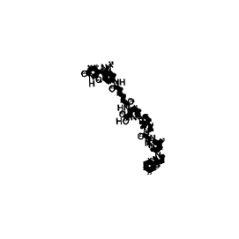 Cc1cc(N2CC[C@](C)(c3ccccc3)C2)cn2nc(C(=O)N3CC[C@@]4(CCN(c5ccc(NC(=O)CCCCC(=O)Nc6ccc7c(C8CCC(=O)NC8=O)nn(C)c7c6)c(C(=O)O)n5)C4)C3)nc12